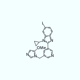 COc1cncn1Cc1cncc(-c2nc3ccc(I)cc3n2C2CC2)c1